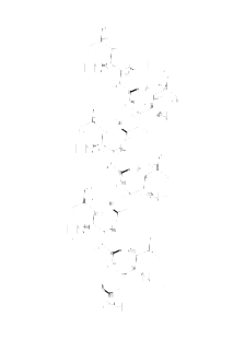 CC(C)C[C@H](N)[C@H](CC(=O)O)OC(=O)C[C@H](OC(=O)C[C@H](OC(=O)C[C@H](OC(=O)C[C@H](OC(=O)C[C@H](O)[C@@H](N)CC(C)C)[C@@H](N)CC(C)C)[C@@H](N)CC(C)C)[C@@H](N)CC(C)C)[C@@H](N)CC(C)C